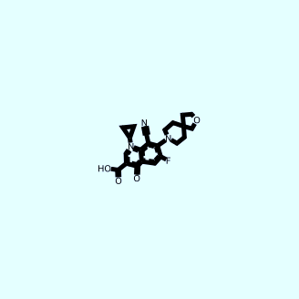 N#Cc1c(N2CCC3(CCOC3)CC2)c(F)cc2c(=O)c(C(=O)O)cn(C3CC3)c12